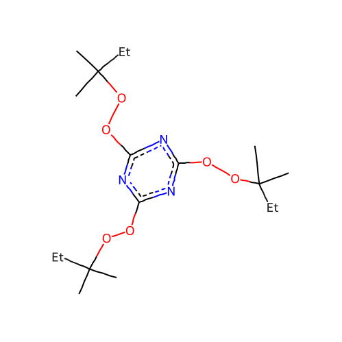 CCC(C)(C)OOc1nc(OOC(C)(C)CC)nc(OOC(C)(C)CC)n1